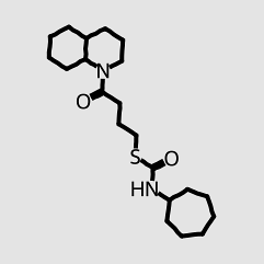 O=C(NC1CCCCCC1)SCCCC(=O)N1CCCC2CCCCC21